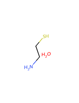 NCCS.O